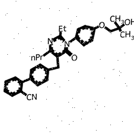 CCCc1nc(CC)n(-c2ccc(OCC(C)(C)O)cc2)c(=O)c1Cc1ccc(-c2ccccc2C#N)cc1